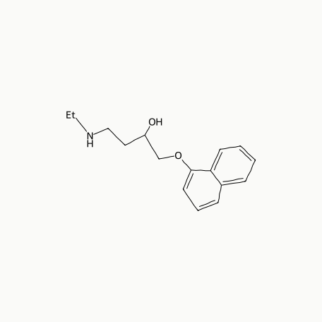 CCNCCC(O)COc1cccc2ccccc12